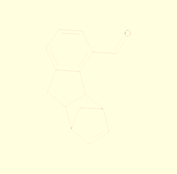 O=Cc1cccc2c1C1C3C=CC(C3)C1C2